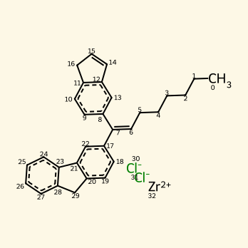 CCCCCCC=C(c1ccc2c(c1)C=CC2)c1ccc2c(c1)-c1ccccc1C2.[Cl-].[Cl-].[Zr+2]